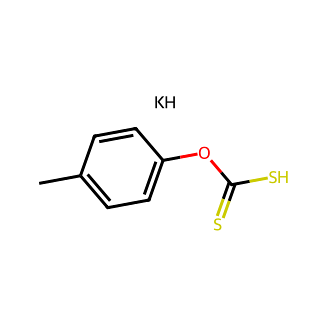 Cc1ccc(OC(=S)S)cc1.[KH]